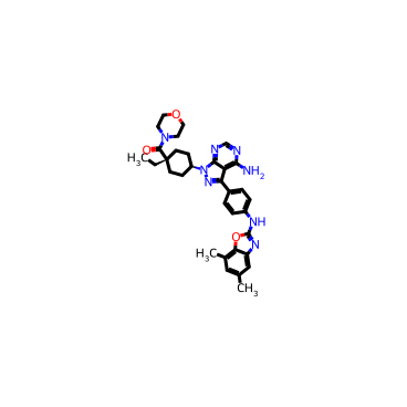 CC[C@]1(C(=O)N2CCOCC2)CC[C@H](n2nc(-c3ccc(Nc4nc5cc(C)cc(C)c5o4)cc3)c3c(N)ncnc32)CC1